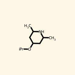 CC1CC(OC(C)C)CC(C)N1